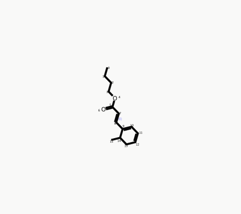 CCCCOC(=O)/C=C/C1=CC=CCC1C